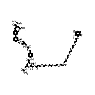 CCCN(CCC)C(=O)C1=Cc2ccc(-c3cccc(S(=O)(=O)N4CC(CNC(=O)OCc5ccc(NC(=O)[C@H](CCCNC(N)=O)NC(=O)[C@@H](NC(=O)CCOCCOCCOCCOCCN(C)CCOCCOCCOCCOCCC(=O)Oc6c(F)c(F)cc(F)c6F)C(C)C)cc5)C4)c3)cc2N=C(N)C1